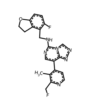 Cc1c(-c2cnc(NCc3c(F)ccc4c3CCO4)n3cnnc23)ccnc1CF